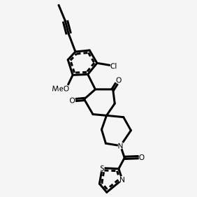 CC#Cc1cc(Cl)c(C2C(=O)CC3(CCN(C(=O)c4nccs4)CC3)CC2=O)c(OC)c1